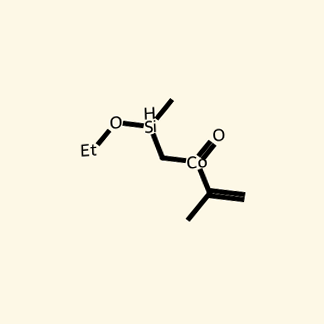 C=[C](C)[Co](=[O])[CH2][SiH](C)OCC